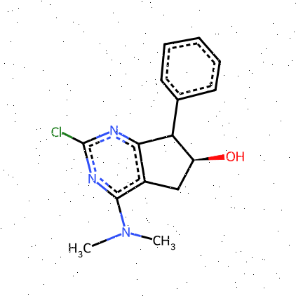 CN(C)c1nc(Cl)nc2c1C[C@H](O)C2c1ccccc1